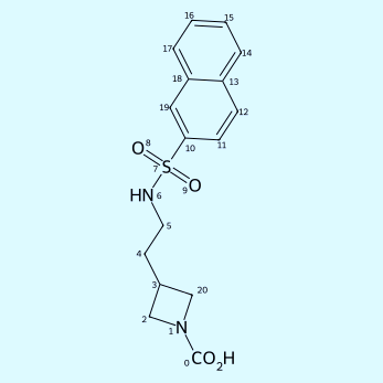 O=C(O)N1CC(CCNS(=O)(=O)c2ccc3ccccc3c2)C1